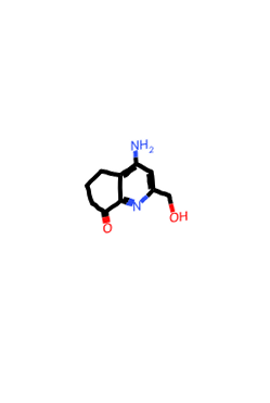 Nc1cc(CO)nc2c1CCCC2=O